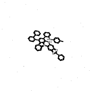 Cc1ccc(Nc2ccccc2-c2cc(-c3ccccc3-c3ccccc3)c3c4ccccc4n4c3c2Bc2cc3oc(-c5ccccc5)nc3cc2-4)cc1